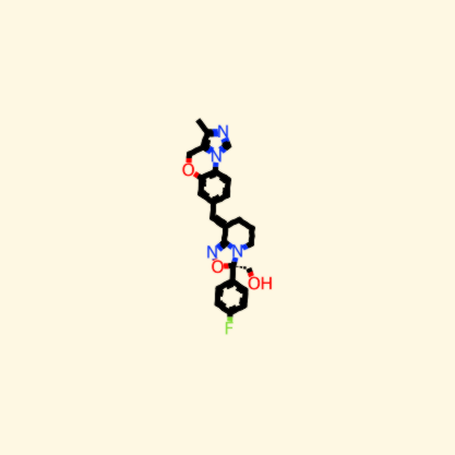 Cc1ncn2c1COc1cc(/C=C3\CCCN4C3=NO[C@]4(CO)c3ccc(F)cc3)ccc1-2